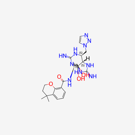 CC1(C)CCOc2c(C(=O)N[C@H]3CN4C(=N)N[C@@H](Cn5ccnn5)[C@@H]5NC(=N)N[C@@]54C3(O)O)cccc21